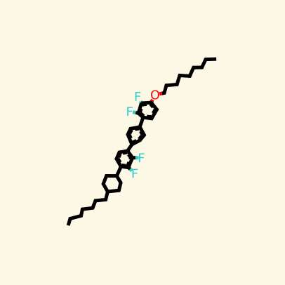 CCCCCCCCCOc1ccc(-c2ccc(-c3ccc(C4CCC(CCCCCCC)CC4)c(F)c3F)cc2)c(F)c1F